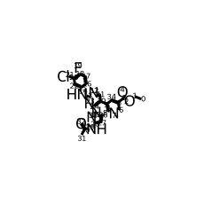 CCOC(=O)c1cncc(-c2cnc(Nc3ccc(F)c(Cl)c3)nc2-n2ccc(NC(C)=O)n2)c1